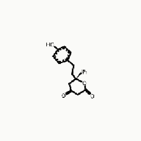 CC(C)[C@]1(CCc2ccc(O)cc2)CC(=O)CC(=O)O1